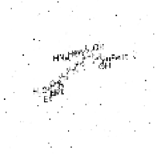 CCCCCC(O)/C=C/[C@H]1C(O)CC(O)[C@@H]1C/C=C/CCCC(=O)OC(C)N(CC)CC.[NaH]